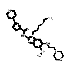 CCOCCCn1c(NC(=O)c2ccc(-c3ccncc3)s2)nc2cc(NO)c(NCCN3CCOCC3)cc21